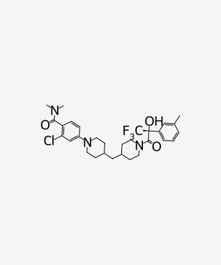 Cc1cccc([C@@](O)(C(=O)N2CCC(CC3CCN(c4ccc(C(=O)N(C)C)c(Cl)c4)CC3)CC2)C(F)(F)F)c1